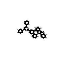 c1ccc(-c2cc(-c3ccccc3)nc(-c3cccc(-c4cccc5c6sc7ccccc7c6n(-c6ccccc6)c45)c3)n2)cc1